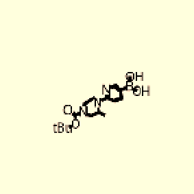 CC1CN(C(=O)OC(C)(C)C)CCN1c1ccc(B(O)O)cn1